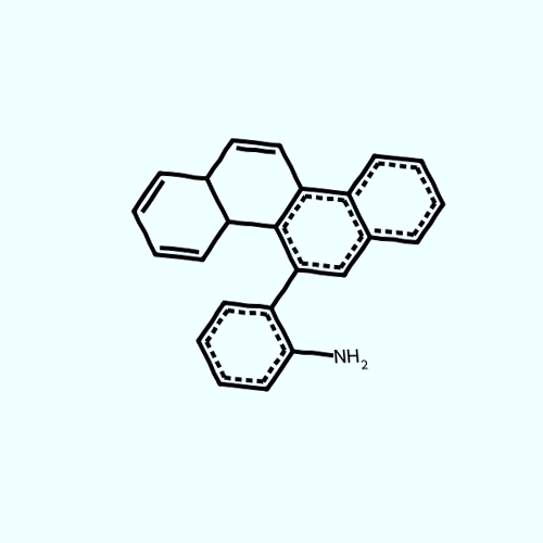 Nc1ccccc1-c1cc2ccccc2c2c1C1C=CC=CC1C=C2